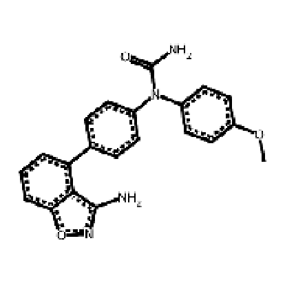 COc1ccc(N(C(N)=O)c2ccc(-c3cccc4onc(N)c34)cc2)cc1